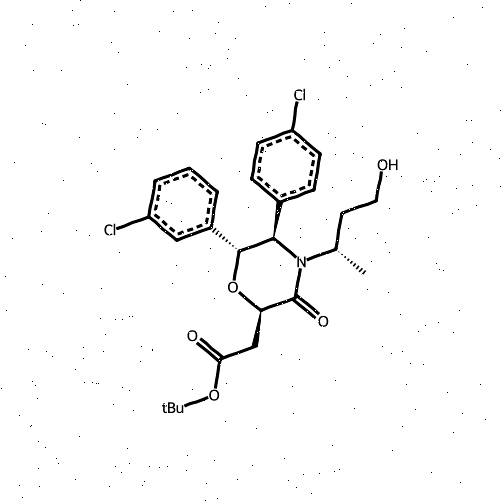 C[C@@H](CCO)N1C(=O)[C@@H](CC(=O)OC(C)(C)C)O[C@H](c2cccc(Cl)c2)[C@H]1c1ccc(Cl)cc1